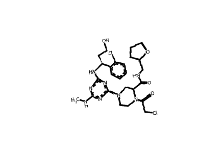 CNc1nc(N[C@@H](CCO)c2ccccc2Cl)nc(N2CCN(C(=O)CCl)C(C(=O)NCC3CCCO3)C2)n1